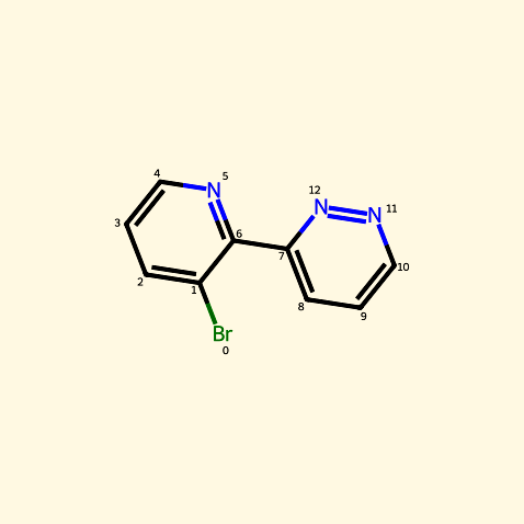 Brc1cccnc1-c1cccnn1